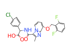 Cc1nc2c(OCc3c(F)cccc3F)cccn2c1C(=O)NC(C(=O)O)c1ccc(Cl)cc1